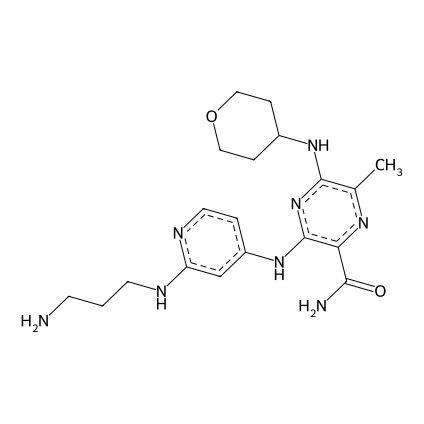 Cc1nc(C(N)=O)c(Nc2ccnc(NCCCN)c2)nc1NC1CCOCC1